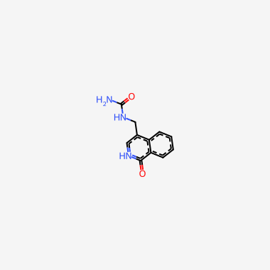 NC(=O)NCc1c[nH]c(=O)c2ccccc12